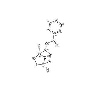 O=C(O[C@@H]1C=C[C@H]2CO[C@@H]1O2)c1ccccc1